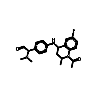 CC(=O)N1c2ccc(F)cc2C(Nc2ccc(C(C=O)N(C)C)cc2)CC1C